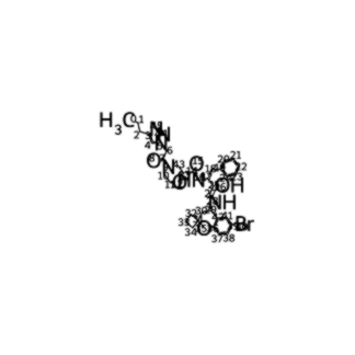 CCCc1cn(CC(=O)N2CCO[C@H](C(=O)N[C@@H](Cc3ccccc3)[C@H](O)CN[C@H]3CC4(CCC4)Oc4ccc(Br)cc43)C2)nn1